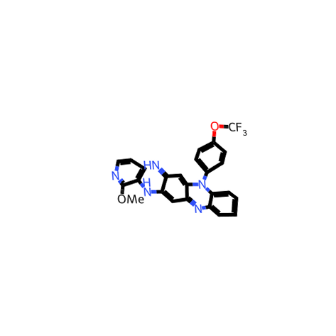 COc1ncccc1Nc1cc2nc3ccccc3n(-c3ccc(OC(F)(F)F)cc3)c-2cc1=N